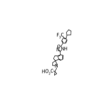 O=C(O)C1(CN2CCC3(CCc4c(C5=NOC(c6ccc(C7CCCC7)c(C(F)(F)F)c6)N5)cccc43)C2)CC1